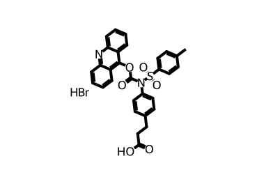 Br.Cc1ccc(S(=O)(=O)N(C(=O)Oc2c3ccccc3nc3ccccc23)c2ccc(CCC(=O)O)cc2)cc1